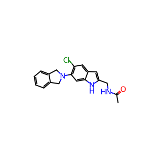 CC(=O)NCc1cc2cc(Cl)c(N3Cc4ccccc4C3)cc2[nH]1